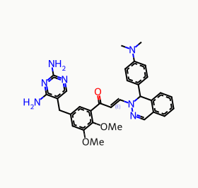 COc1cc(Cc2cnc(N)nc2N)cc(C(=O)/C=C/N2N=Cc3ccccc3C2c2ccc(N(C)C)cc2)c1OC